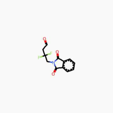 O=CCC(F)(F)CN1C(=O)c2ccccc2C1=O